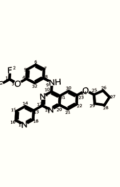 FC(F)Oc1cccc(Nc2nc(-c3cccnc3)nc3ccc(OC4CCCC4)cc23)c1